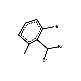 Cc1cccc(Br)c1C(Br)Br